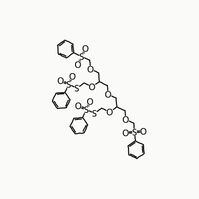 O=S(=O)(COCC(COCC(COCS(=O)(=O)c1ccccc1)OCSS(=O)(=O)c1ccccc1)OCSS(=O)(=O)c1ccccc1)c1ccccc1